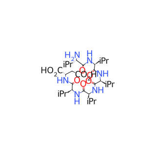 CC(C)[C@H](N)C(=O)N[C@H](C(=O)N[C@H](C(=O)N[C@H](C(=O)N[C@H](C(=O)N[C@@H](CC(=O)O)C(=O)O)C(C)C)C(C)C)C(C)C)C(C)C